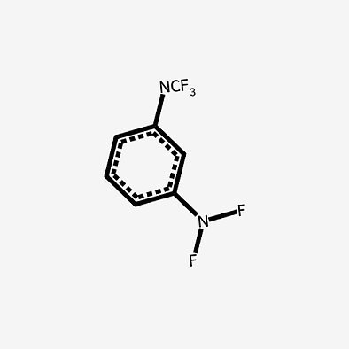 FN(F)c1cccc(NC(F)(F)F)c1